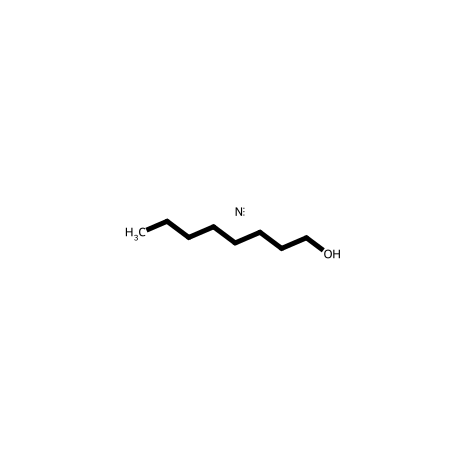 CCCCCCCCO.[N]